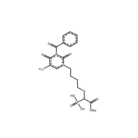 COC(=O)C(OCCCCn1cc(C)c(=O)n(C(=O)c2ccccc2)c1=O)P(=O)(O)O